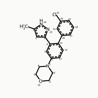 Cc1cc(-c2cc(N3CCOCC3)ccc2-c2cccc(Cl)c2)n[nH]1